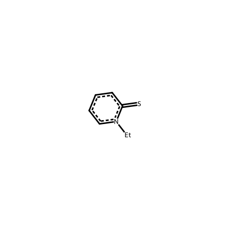 CCn1ccccc1=S